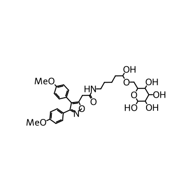 COc1ccc(-c2noc(CC(=O)NCCCCC(O)OCC3OC(O)C(O)C(O)C3O)c2-c2ccc(OC)cc2)cc1